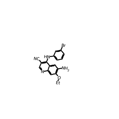 CCOc1cc2ncc(C#N)c(Nc3cccc(Br)c3)c2cc1N